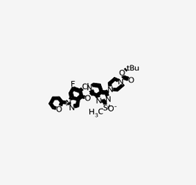 C[S+]([O-])c1nc(N2CCN(C(=O)OC(C)(C)C)CC2)c2ccnc(Oc3c(Cl)c(F)cc4c3cnn4C3CCCCO3)c2n1